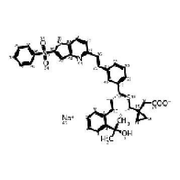 CC(C)(O)c1ccccc1CC[C@@H](SCC1(CC(=O)[O-])CC1)c1cccc(C=Cc2ccc3sc(S(=O)(=O)c4ccccc4)cc3n2)c1.[Na+]